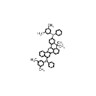 Cc1cc(C)cc(N(c2ccccc2)c2ccc3c(c2)C(C)(C)c2cccc4c2c-3cc2c3ccccc3c(N(c3ccccc3)c3cc(C)cc(C)c3)cc42)c1